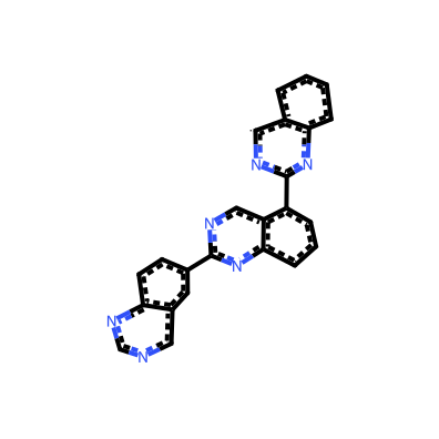 [c]1nc(-c2cccc3nc(-c4ccc5ncncc5c4)ncc23)nc2ccccc12